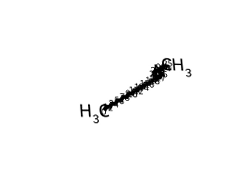 CCCCCCCCCCCCCCCCCCCc1cc[n+](CCC)cc1